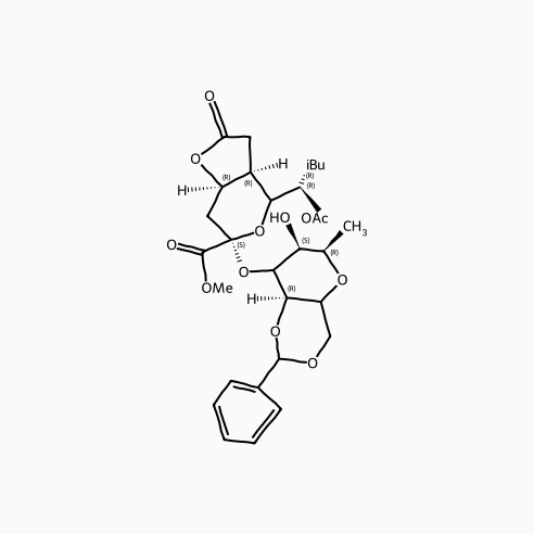 CC[C@@H](C)[C@@H](OC(C)=O)C1O[C@@](OC2[C@@H]3OC(c4ccccc4)OCC3O[C@H](C)[C@@H]2O)(C(=O)OC)C[C@H]2OC(=O)C[C@@H]12